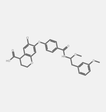 COc1cccc(CC(NC(=O)c2ccc(Oc3cc4c(cc3Cl)C(C(=O)O)CCO4)cc2)OC)c1